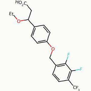 CCOC(CC(=O)O)c1ccc(OCc2ccc(C(F)(F)F)c(F)c2F)cc1